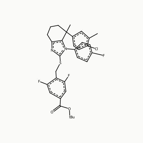 Cc1cc(C2(C)CCCc3nc(SCc4c(F)cc(C(=O)OC(C)(C)C)cc4F)n(-c4ccc(F)cc4)c32)ccc1Cl